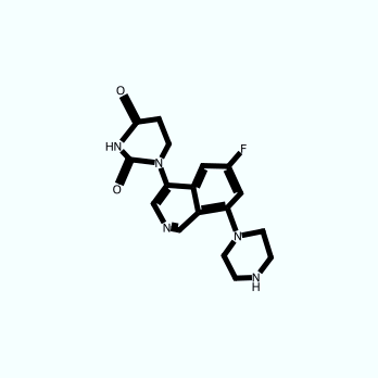 O=C1CCN(c2cncc3c(N4CCNCC4)cc(F)cc23)C(=O)N1